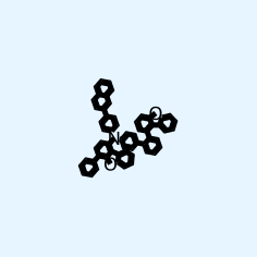 c1ccc(-c2ccc(N(c3ccc(-c4ccc5ccccc5c4)cc3)c3ccc(-c4ccccc4-c4cccc5oc6ccccc6c45)cc3)c3c2oc2ccccc23)cc1